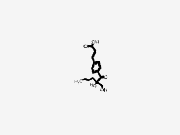 CCCCC(O)(CO)C(=O)c1ccc(C=CC(=O)O)cc1